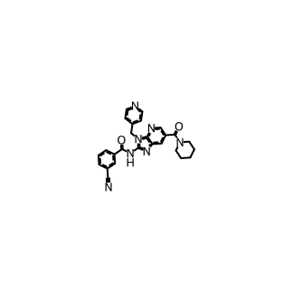 N#Cc1cccc(C(=O)Nc2nc3cc(C(=O)N4CCCCC4)cnc3n2Cc2ccncc2)c1